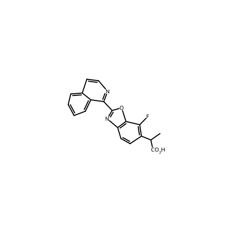 CC(C(=O)O)c1ccc2nc(-c3nccc4ccccc34)oc2c1F